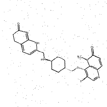 Cn1c(=O)ccc2ncc(F)c(OC[C@H]3CC[C@H](NCC4=CC=C5CCC(=O)N=C5N4)CC3)c21